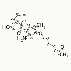 CC(=O)CCCCCOc1cc(N)c(C(=O)N2CCCC[C@H]2CO)cc1C